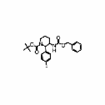 CC(C)(C)OC(=O)N1CCCC(NC(=O)OCc2ccccc2)C1c1ccc(F)cc1